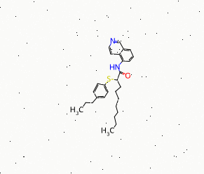 CCCCCCCCC(Sc1ccc(CCC)cc1)C(=O)Nc1cccc2cnccc12